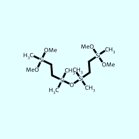 CO[Si](C)(CC[Si](C)(C)O[Si](C)(C)CC[Si](C)(OC)OC)OC